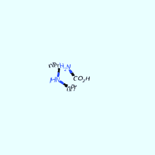 CCCNCCC.NC(=O)O